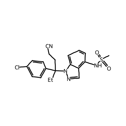 CCC(CCC#N)(c1ccc(Cl)cc1)n1ncc2c(NS(C)(=O)=O)cccc21